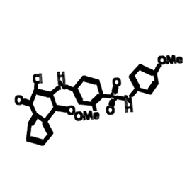 COc1ccc(NS(=O)(=O)c2ccc(NC3=C(Cl)C(=O)c4ccccc4C3=O)cc2OC)cc1